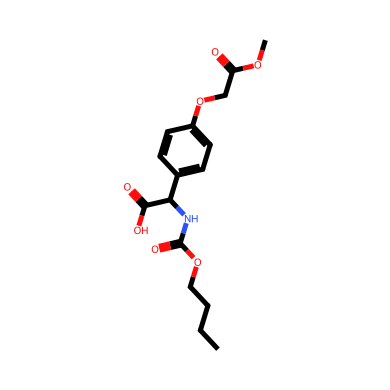 CCCCOC(=O)NC(C(=O)O)c1ccc(OCC(=O)OC)cc1